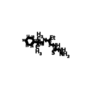 CCC(CNC(=S)NN)N=NC(C)(C)c1ccccc1